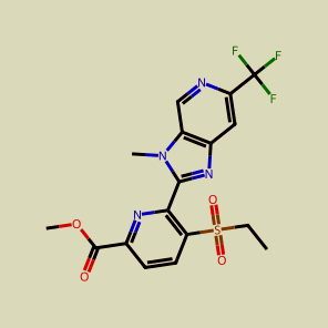 CCS(=O)(=O)c1ccc(C(=O)OC)nc1-c1nc2cc(C(F)(F)F)ncc2n1C